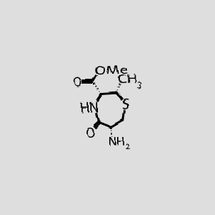 COC(=O)[C@H]1NC(=O)[C@@H](N)CS[C@H]1C